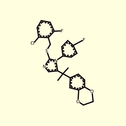 CC(C)(c1ccc2c(c1)OCCO2)c1cnc(SCc2c(F)cccc2Cl)n1-c1ccc(F)cc1